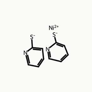 [Ni+2].[S-]c1ccccn1.[S-]c1ccccn1